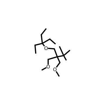 CCC(CC)(CC)OCC(COC)(COC)C(C)(C)C